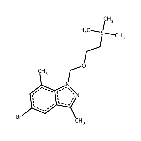 Cc1nn(COCC[Si](C)(C)C)c2c(C)cc(Br)cc12